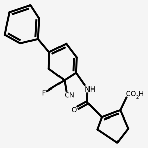 N#CC1(F)CC(c2ccccc2)=CC=C1NC(=O)C1=C(C(=O)O)CCC1